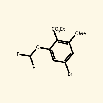 CCOC(=O)c1c(OC)cc(Br)cc1OC(F)F